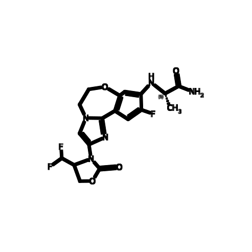 C[C@H](Nc1cc2c(cc1F)-c1nc(N3C(=O)OCC3C(F)F)cn1CCO2)C(N)=O